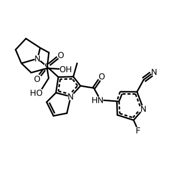 Cc1c(S(=O)(=O)N2C3CCC2CC(O)(CO)C3)c2n(c1C(=O)Nc1cc(F)nc(C#N)c1)CC=C2